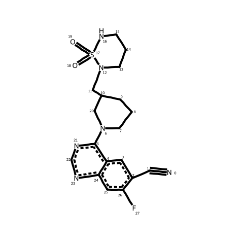 N#Cc1cc2c(N3CCCC(CN4CCCNS4(=O)=O)C3)ncnc2cc1F